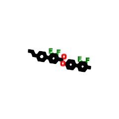 CCCC1CCC(c2ccc(C(=O)Oc3ccc(-c4ccc(C)c(F)c4F)cc3)c(F)c2F)CC1